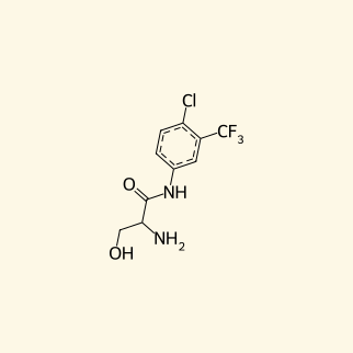 NC(CO)C(=O)Nc1ccc(Cl)c(C(F)(F)F)c1